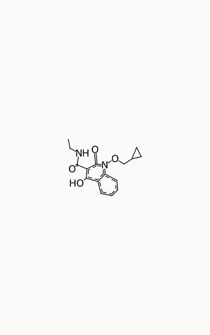 CCNC(=O)c1c(O)c2ccccc2n(OCC2CC2)c1=O